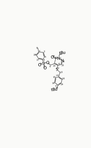 Cc1ccc(S(=O)(=O)OCc2c(SCc3ccc(C(C)(C)C)cc3)cnn(C(C)(C)C)c2=O)cc1